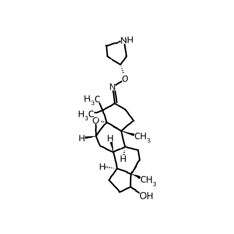 CC1(C)/C(=N/O[C@@H]2CCNC2)CC[C@]2(C)[C@H]3CC[C@]4(C)C(O)CC[C@H]4[C@@H]3C[C@@H]3O[C@]312